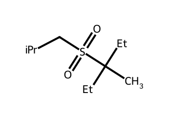 CCC(C)(CC)S(=O)(=O)CC(C)C